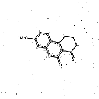 COc1ccc2c3c(c(=O)oc2c1)C(=O)CCC3